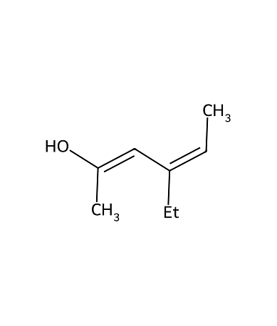 C/C=C(\C=C(/C)O)CC